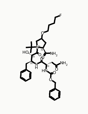 CC(C)(C)[N+]1(C(=O)[C@@H](O)[C@H](Cc2ccccc2)NC(=O)[C@H](CC(N)=O)NC(=O)OCc2ccccc2)CC(OCCCCF)C[C@H]1C(N)=O